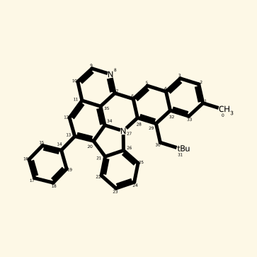 Cc1ccc2cc3c4nccc5cc(-c6ccccc6)c6c7ccccc7n(c3c(CC(C)(C)C)c2c1)c6c54